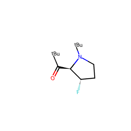 CC(C)(C)C(=O)[C@@H]1[C@@H](F)CCN1C(C)(C)C